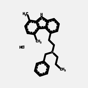 CCCN(CCc1cccc2[nH]c3c(C)ccc(C)c3c12)Cc1ccccc1.Cl